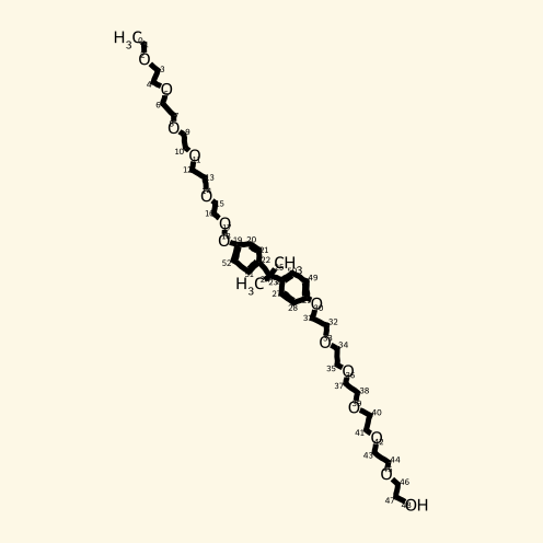 CCOCCOCCOCCOCCOCCOOc1ccc(C(C)(C)c2ccc(OCCOCCOCCOCCOCCOCCO)cc2)cc1